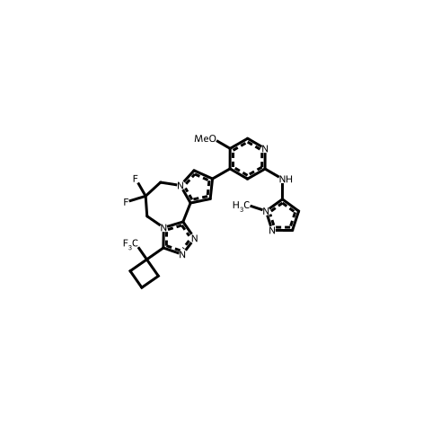 COc1cnc(Nc2ccnn2C)cc1-c1cc2n(c1)CC(F)(F)Cn1c-2nnc1C1(C(F)(F)F)CCC1